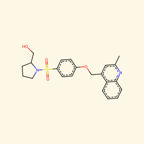 Cc1cc(COc2ccc(S(=O)(=O)N3CCCC3CO)cc2)c2ccccc2n1